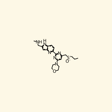 CCC[S+]([O-])Cc1cc(N2CCOCC2)nc(-c2ccc3[nH]c(CNC)cc3n2)n1